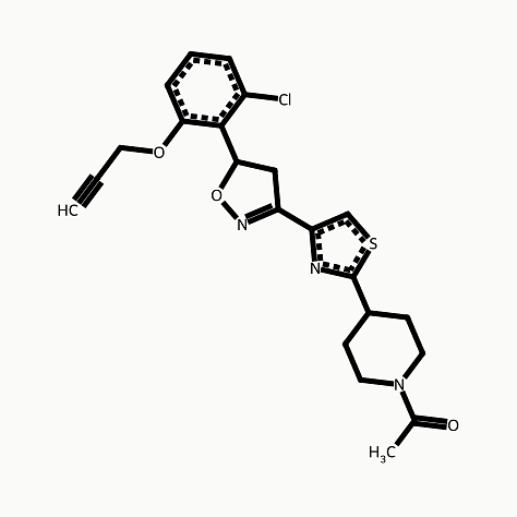 C#CCOc1cccc(Cl)c1C1CC(c2csc(C3CCN(C(C)=O)CC3)n2)=NO1